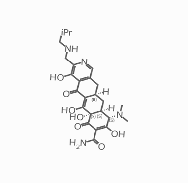 CC(C)CNCc1ncc2c(c1O)C(=O)C1=C(O)[C@]3(O)C(=O)C(C(N)=O)=C(O)[C@@H](N(C)C)[C@@H]3C[C@@H]1C2